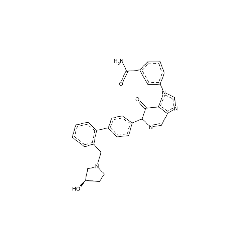 NC(=O)c1cccc(-n2cnc3c2C(=O)C(c2ccc(-c4ccccc4CN4CC[C@@H](O)C4)cc2)N=C3)c1